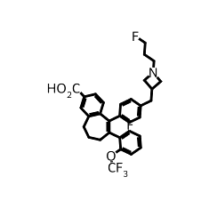 O=C(O)c1ccc2c(c1)CCCC(c1c(F)cccc1OC(F)(F)F)=C2c1ccc(CC2CN(CCCF)C2)cc1